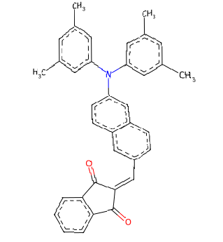 Cc1cc(C)cc(N(c2cc(C)cc(C)c2)c2ccc3cc(C=C4C(=O)c5ccccc5C4=O)ccc3c2)c1